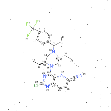 CCC(c1ccc(C(F)(F)F)cc1)N1C[C@H](CC)N(c2nc(Cl)nc3ccc(C#N)nc23)C[C@H]1CC